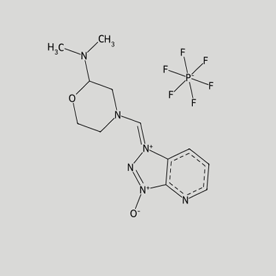 CN(C)C1CN(C=[N+]2N=[N+]([O-])c3ncccc32)CCO1.F[P-](F)(F)(F)(F)F